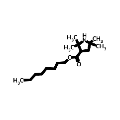 CCCCCCCCOC(=O)C1CC(C)(C)NC1(C)C